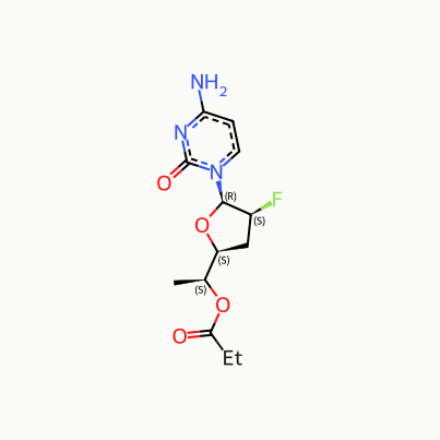 CCC(=O)O[C@@H](C)[C@@H]1C[C@H](F)[C@H](n2ccc(N)nc2=O)O1